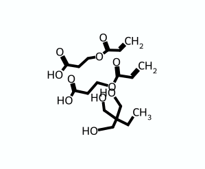 C=CC(=O)OCCC(=O)O.C=CC(=O)OCCC(=O)O.CCC(CO)(CO)CO